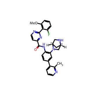 COc1cccc(F)c1-c1nccc(C(=O)Nc2ccc(-c3cccnc3C)cc2N2C[C@@H]3C[C@H]2CN3)n1